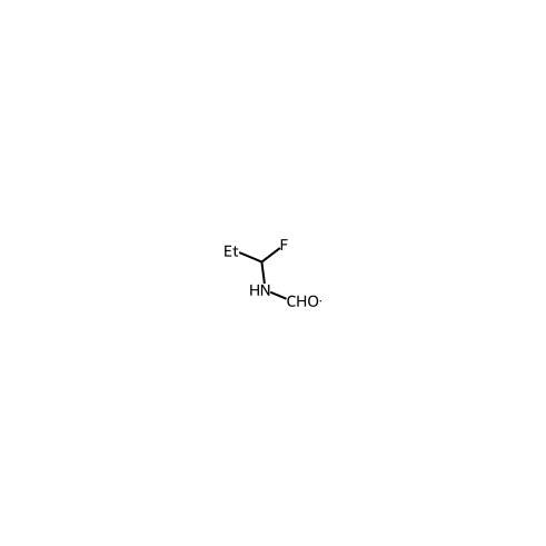 CCC(F)N[C]=O